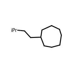 CC(C)CCC1CCCCCCC1